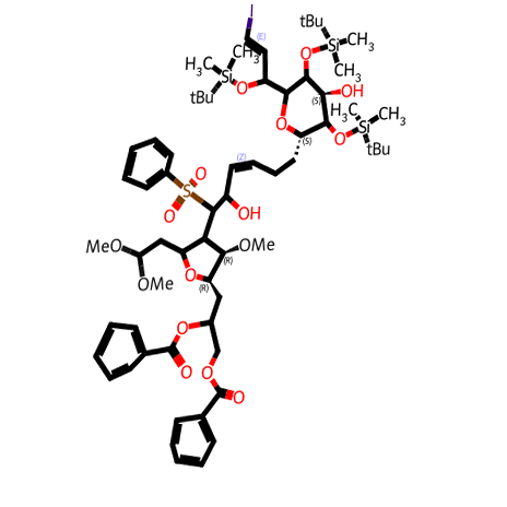 COC(CC1O[C@H](CC(COC(=O)c2ccccc2)OC(=O)c2ccccc2)[C@H](OC)C1C(C(O)/C=C\CC[C@@H]1OC(C(/C=C/I)O[Si](C)(C)C(C)(C)C)C(O[Si](C)(C)C(C)(C)C)[C@@H](O)C1O[Si](C)(C)C(C)(C)C)S(=O)(=O)c1ccccc1)OC